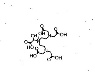 CC(C(=O)O)N(CCN(CC(=O)O)CC(=O)O)CCN(CC(=O)O)CC(=O)O